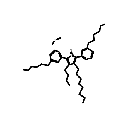 CCCCCCCCC1=C(c2cccc(CCCCCC)c2)[N+](=[N-])C(c2cccc(CCCCCC)c2)=C1CCCC.[CH3][Ni][CH3]